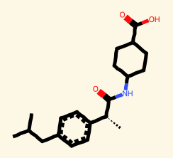 CC(C)Cc1ccc([C@@H](C)C(=O)NC2CCC(C(=O)O)CC2)cc1